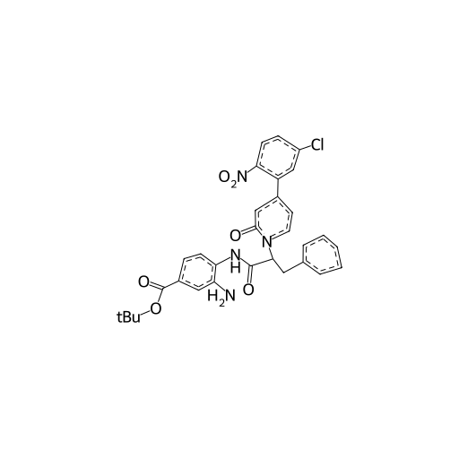 CC(C)(C)OC(=O)c1ccc(NC(=O)C(Cc2ccccc2)n2ccc(-c3cc(Cl)ccc3[N+](=O)[O-])cc2=O)c(N)c1